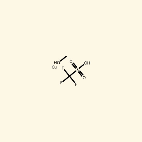 CO.O=S(=O)(O)C(F)(F)F.[Cu]